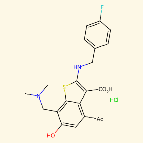 CC(=O)c1cc(O)c(CN(C)C)c2sc(NCc3ccc(F)cc3)c(C(=O)O)c12.Cl